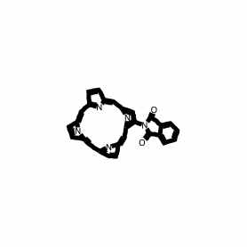 O=C1c2ccccc2C(=O)N1c1cc2cc3nc(cc4ccc(cc5nc(cc1[nH]2)C=C5)[nH]4)C=C3